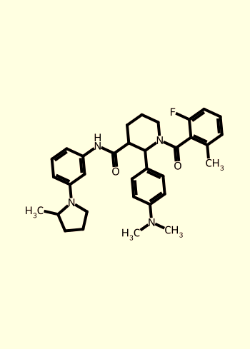 Cc1cccc(F)c1C(=O)N1CCCC(C(=O)Nc2cccc(N3CCCC3C)c2)C1c1ccc(N(C)C)cc1